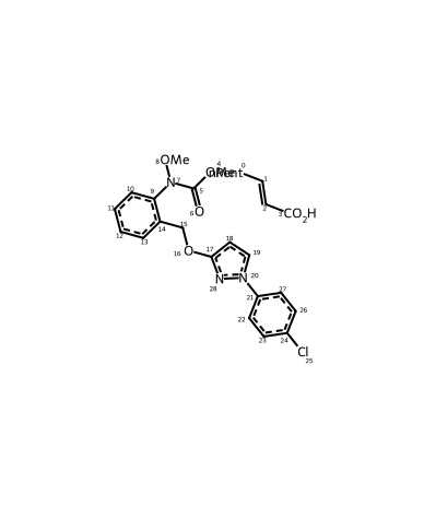 CCCCC/C=C/C(=O)O.COC(=O)N(OC)c1ccccc1COc1ccn(-c2ccc(Cl)cc2)n1